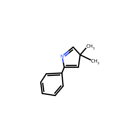 CC1(C)C=NC(c2ccccc2)=C1